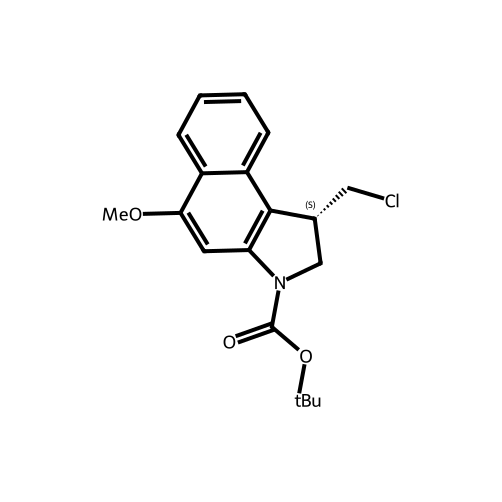 COc1cc2c(c3ccccc13)[C@H](CCl)CN2C(=O)OC(C)(C)C